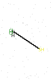 SCCCCCCCCCCCCCCCCCCCCCCCCCCC[SiH](Cl)Cl